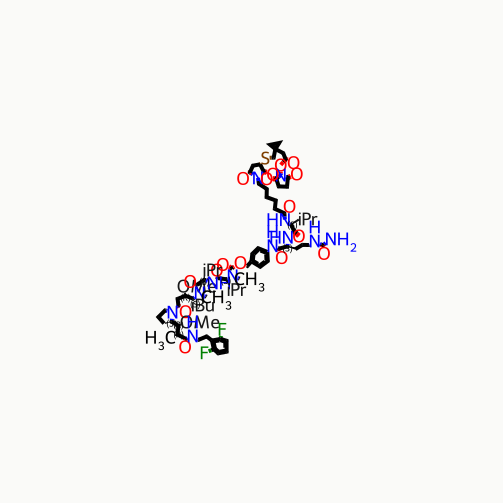 CC[C@H](C)C([C@@H](CC(=O)N1CCC[C@H]1[C@H](OC)[C@@H](C)C(=O)NCCc1c(F)cccc1F)OC)N(C)C(=O)[C@@H](NC(=O)[C@H](C(C)C)N(C)C(=O)OCc1ccc(NC(=O)[C@H](CCCNC(N)=O)NC(=O)[C@@H](NC(=O)CCCCCN2C(=O)CC(SCC3(CC(=O)ON4C(=O)CCC4=O)CC3)C2=O)C(C)C)cc1)C(C)C